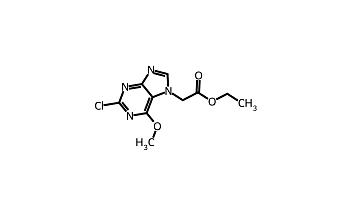 CCOC(=O)Cn1cnc2nc(Cl)nc(OC)c21